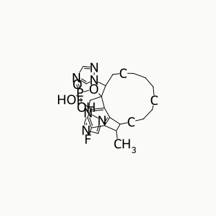 CC1c2c(F)cc(F)c3c2C1CCCCCCCCCC(n1cncn1)C3(Cn1cncn1)OP(=O)(O)O